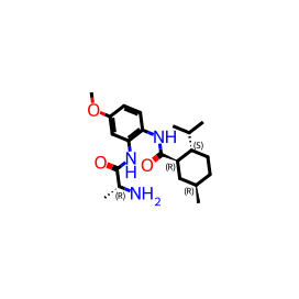 COc1ccc(NC(=O)[C@@H]2C[C@H](C)CC[C@H]2C(C)C)c(NC(=O)[C@@H](C)N)c1